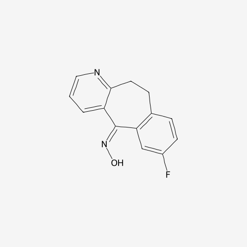 O/N=C1\c2cc(F)ccc2CCc2ncccc21